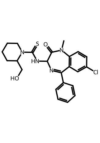 CN1C(=O)C(NC(=S)N2CCCCC2CO)N=C(c2ccccc2)c2cc(Cl)ccc21